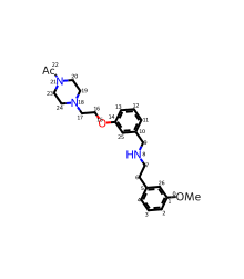 COc1cccc(CCNCc2cccc(OCCN3CCN(C(C)=O)CC3)c2)c1